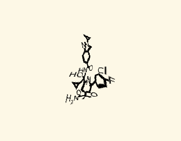 C[C@]1(C(N)=O)COc2c1cc(C(O)(CNC(=O)c1ccc3nn(C4CC4)cc3c1)C1CC1)nc2-c1ccc(F)c(Cl)c1